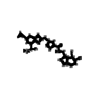 CC(F)c1cc(C2CC2)cn2cc(Cn3cc(C(=O)NCc4ncn5ccc(Cl)c(F)c45)nn3)nc12